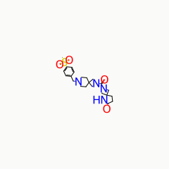 CS(=O)(=O)c1ccc(CN2CCC3(CC2)CN(C(=O)N2CC4(CCC(=O)N4)C2)C3)cc1